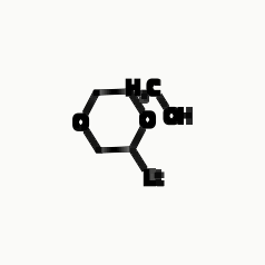 CCC1COCCO1.CO